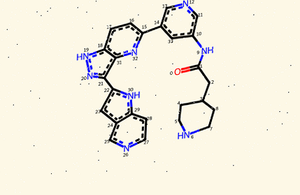 O=C(CC1CCNCC1)Nc1cncc(-c2ccc3[nH]nc(-c4cc5cnccc5[nH]4)c3n2)c1